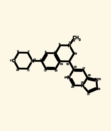 CN1Cc2cc(N3CCOCC3)ccc2C(c2cc3nccn3cn2)C1